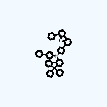 c1ccc(-c2ccc(N(c3ccc(-c4cccc5c4oc4c(-c6ccccc6)cccc45)cc3)c3cccc4c3-c3ccccc3C4(c3ccccc3)c3ccccc3)cc2)cc1